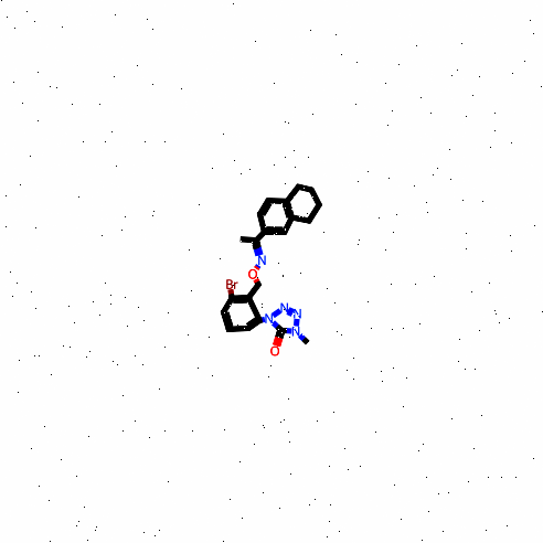 CC(=NOCc1c(Br)cccc1-n1nnn(C)c1=O)c1ccc2c(c1)CCCC2